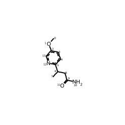 COc1ccc(C(C)CC(N)=O)nc1